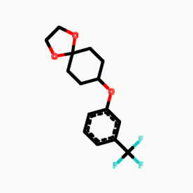 FC(F)(F)c1cccc(OC2CCC3(CC2)OCCO3)c1